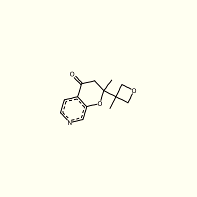 CC1(C2(C)CC(=O)c3ccncc3O2)COC1